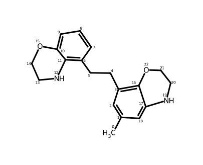 Cc1cc(CCc2cccc3c2NCCO3)c2c(c1)NCCO2